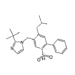 CC(C)Cc1cc(-c2ccccc2)c([SH](=O)=O)cc1Cn1ccnc1C(C)(C)C